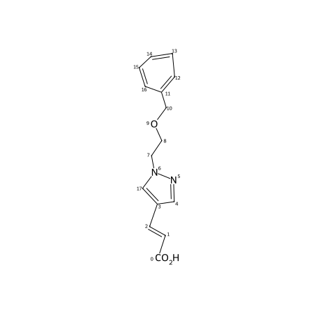 O=C(O)/C=C/c1cnn(CCOCc2ccccc2)c1